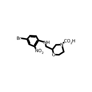 O=C(O)N1CCOC(CNc2ccc(Br)cc2[N+](=O)[O-])C1